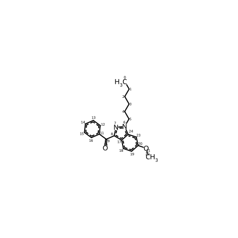 CCCCCCn1nc(C(=O)c2ccccc2)c2ccc(OC)cc21